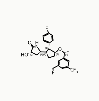 C[C@@H](O[C@H]1CC[C@@H]([C@H]2C[C@H](O)C(=O)N2)[C@@H]1c1ccc(F)cc1)c1cc(CF)cc(C(F)(F)F)c1